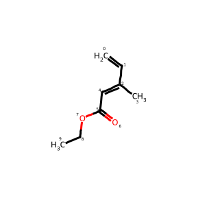 C=CC(C)=CC(=O)OCC